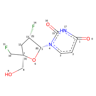 O=c1ccn([C@@H]2O[C@@](CO)(CF)C[C@@H]2F)c(=O)[nH]1